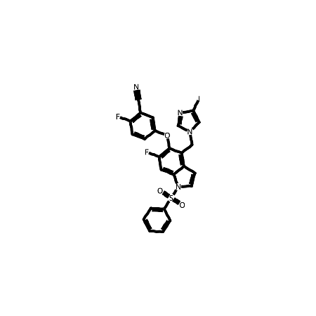 N#Cc1cc(Oc2c(F)cc3c(ccn3S(=O)(=O)c3ccccc3)c2Cn2cnc(I)c2)ccc1F